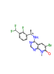 C[C@@H](Nc1ncnc2c1cc(Br)c(=O)n2C)c1cccc(C(F)F)c1F